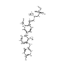 C=S(=O)(CC)CC(O)COc1ccc(-n2ccnc(Sc3ccc(C)cc3)c2=O)cc1OC